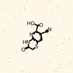 N#Cc1cc2c(nc1C(=O)O)NC(=O)CS2